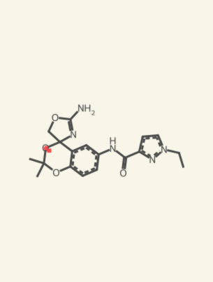 CCn1ccc(C(=O)Nc2ccc3c(c2)C2(COC(N)=N2)C2(COC2)C(C)(C)O3)n1